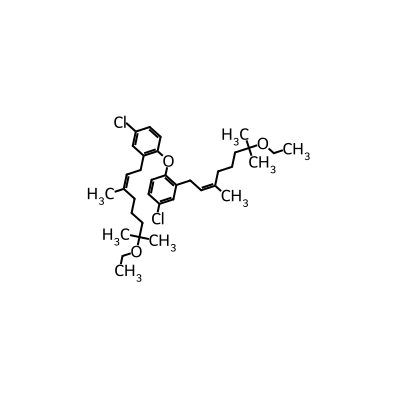 CCOC(C)(C)CCCC(C)=CCc1cc(Cl)ccc1Oc1ccc(Cl)cc1CC=C(C)CCCC(C)(C)OCC